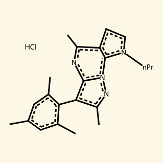 CCCn1ccc2c(C)nc3c(-c4c(C)cc(C)cc4C)c(C)nn3c21.Cl